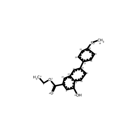 CCOC(=O)c1cc(O)c2ccc(-c3ccc(SC)cc3)cc2c1